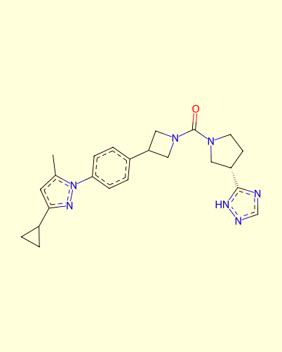 Cc1cc(C2CC2)nn1-c1ccc(C2CN(C(=O)N3CC[C@H](c4ncn[nH]4)C3)C2)cc1